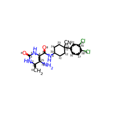 C=C1NC(=O)NC(C(=O)NC2CCC(C#N)(c3ccc(Cl)c(Cl)c3)CC2)=C1N